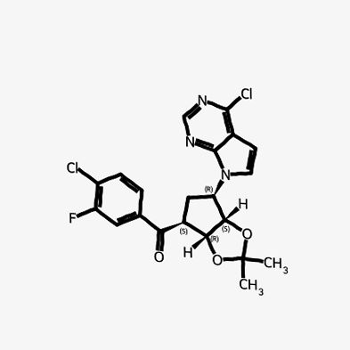 CC1(C)O[C@@H]2[C@H](O1)[C@@H](C(=O)c1ccc(Cl)c(F)c1)C[C@H]2n1ccc2c(Cl)ncnc21